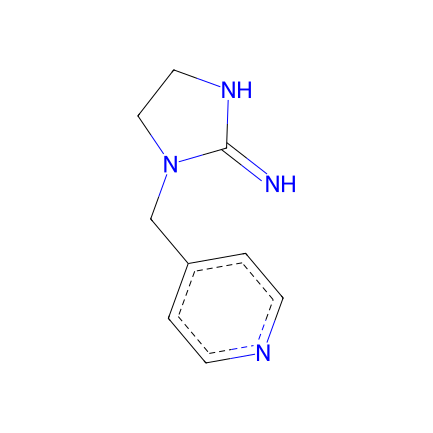 N=C1NCCN1Cc1ccncc1